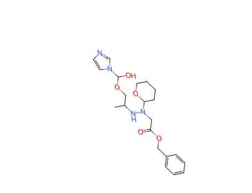 CC(COC(O)n1ccnc1)NN(CC(=O)OCc1ccccc1)C1CCCCO1